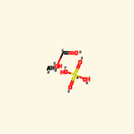 O=CO.O=S(=O)(O)O.[AlH3]